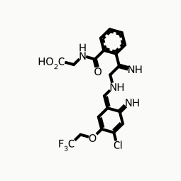 N=C1C=C(Cl)C(OCC(F)(F)F)=C/C1=C/NCC(=N)c1ccccc1C(=O)NCC(=O)O